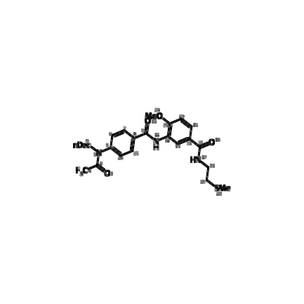 CCCCCCCCCCN(C(=O)C(F)(F)F)c1ccc(C(=O)Nc2cc(C(=O)NCCSC)ccc2OC)cc1